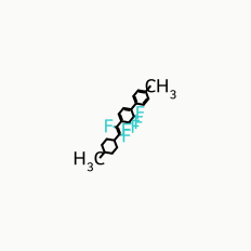 Cc1ccc(C2=CC=C(/C(F)=C(\F)C3CCC(C)CC3)C(F)(F)C2(F)F)cc1